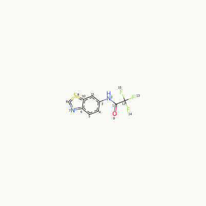 O=C(Nc1ccc2ncsc2c1)C(F)(F)F